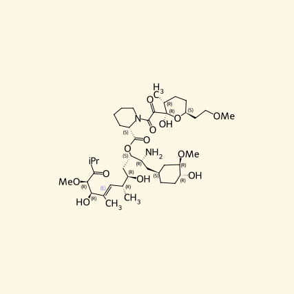 COCC[C@@H]1CC[C@@H](C)[C@](O)(C(=O)C(=O)N2CCCC[C@H]2C(=O)O[C@@H](C[C@@H](O)[C@H](C)/C=C(\C)[C@@H](O)[C@@H](OC)C(=O)C(C)C)[C@H](N)C[C@@H]2CC[C@@H](O)[C@H](OC)C2)O1